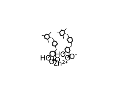 Cc1cc(C)c(Cc2ccc(Cc3ccc(O)c(C(=O)[O-])c3)cc2)c(C)c1.Cc1cc(C)c(Cc2ccc(Cc3ccc(O)c(C(=O)[O-])c3)cc2)c(C)c1.[Zn+2]